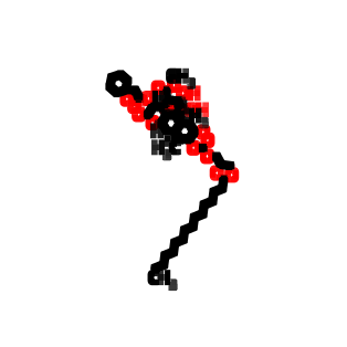 CCCCCCCCCCCCCCCC1OCC(COC(=O)OC2=C(C)[C@@H]3C[C@H]4OC(=O)C(OC(=O)CC5(O)CCCCC5)[C@H]5[C@@]6(C(=O)OC)OC[C@]45[C@H]([C@@H](O)[C@@H]6O)[C@@]3(C)CC2=O)O1